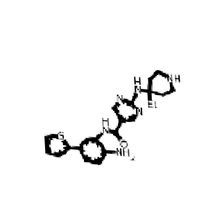 CCC1(Nc2ncc(C(=O)Nc3cc(-c4cccs4)ccc3N)cn2)CCNCC1